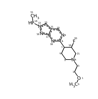 COCCN1CCC(c2ncc3cn(PC)nc3n2)C(F)C1